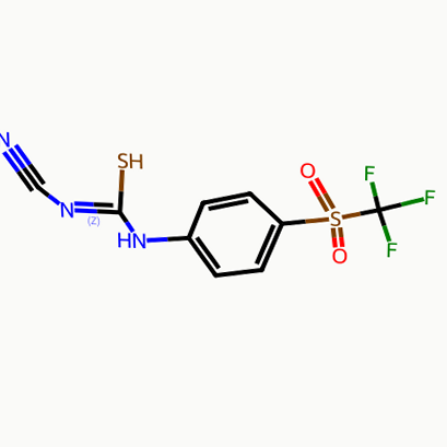 N#C/N=C(\S)Nc1ccc(S(=O)(=O)C(F)(F)F)cc1